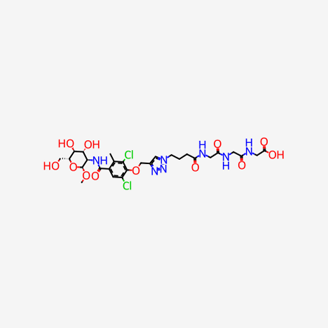 CO[C@H]1O[C@H](CO)[C@@H](O)[C@H](O)[C@H]1NC(=O)c1cc(Cl)c(OCc2cn(CCCC(=O)NCC(=O)NCC(=O)NCC(=O)O)nn2)c(Cl)c1C